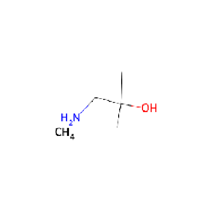 C.CC(C)(O)CN